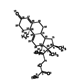 CCCCC(=O)OCC(=O)[C@@]1(C)[C@H](C)CC2C3CCC4=CC(=O)CC[C@]4(C)C3=CC[C@@]21C